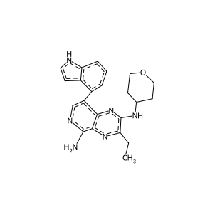 CCc1nc2c(N)ncc(-c3cccc4[nH]ccc34)c2nc1NC1CCOCC1